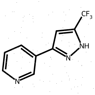 FC(F)(F)c1cc(-c2cccnc2)n[nH]1